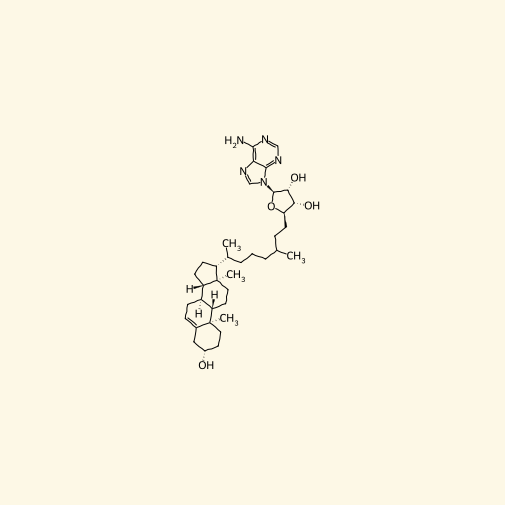 CC(CCCC(C)[C@H]1CC[C@H]2[C@@H]3CC=C4C[C@@H](O)CC[C@]4(C)[C@H]3CC[C@]12C)CC[C@H]1O[C@@H](n2cnc3c(N)ncnc32)[C@H](O)[C@@H]1O